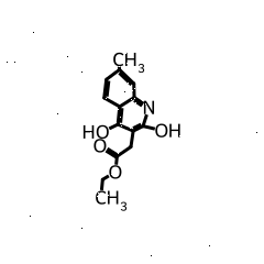 CCOC(=O)Cc1c(O)nc2cc(C)ccc2c1O